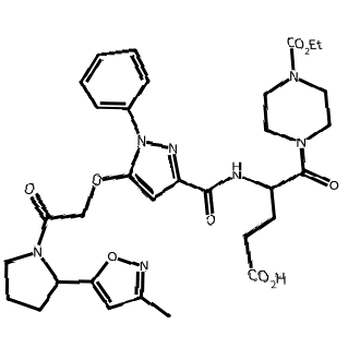 CCOC(=O)N1CCN(C(=O)C(CCC(=O)O)NC(=O)c2cc(OCC(=O)N3CCCC3c3cc(C)no3)n(-c3ccccc3)n2)CC1